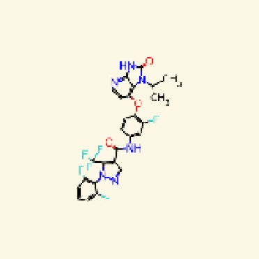 CC(C)n1c(=O)[nH]c2nccc(Oc3ccc(NC(=O)c4cnn(-c5c(F)cccc5F)c4C(F)(F)F)cc3F)c21